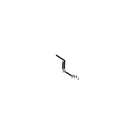 CC=NP